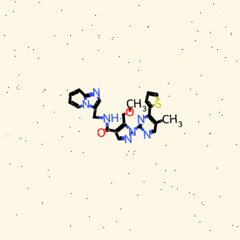 COCc1c(C(=O)NCc2cnc3ccccn23)cnn1-c1ncc(C)c(-c2cccs2)n1